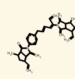 C=C/C(=C\C=C\Cc1ccc(N2C(=C)C3C(C=C)CC(C)C3C2=O)cc1)N1C(=C)C2C(C)CC(C=C)C2C1=C